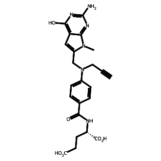 C#CCN(Cc1cc2c(O)nc(N)nc2n1C)c1ccc(C(=O)N[C@@H](CCC(=O)O)C(=O)O)cc1